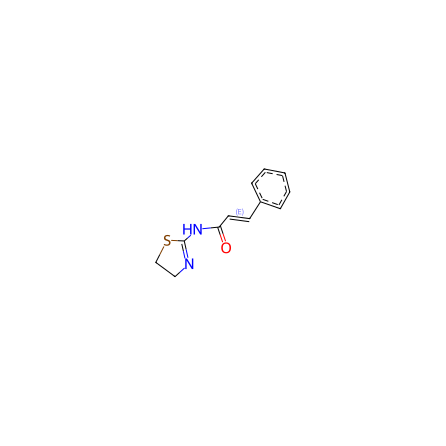 O=C(/C=C/c1ccccc1)NC1=NCCS1